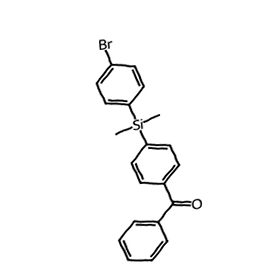 C[Si](C)(c1ccc(Br)cc1)c1ccc(C(=O)c2ccccc2)cc1